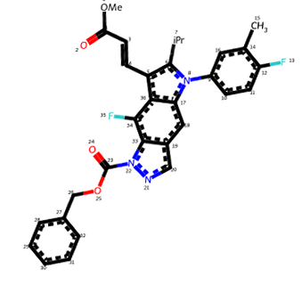 COC(=O)/C=C/c1c(C(C)C)n(-c2ccc(F)c(C)c2)c2cc3cnn(C(=O)OCc4ccccc4)c3c(F)c12